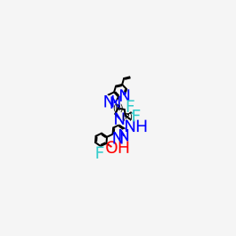 C=Cc1cnc2c(cnn2[C@H]2CN3c4cc(-c5cccc(F)c5O)nnc4NC[C@@]3(C(F)F)C2)c1